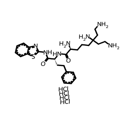 Cl.Cl.Cl.Cl.NCCC(N)(CCN)CCC[C@H](N)C(=O)N[C@H](CCc1ccccc1)C(=O)Nc1nc2ccccc2s1